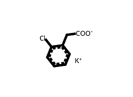 O=C([O-])Cc1ccccc1Cl.[K+]